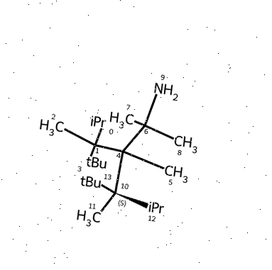 CC(C)C(C)(C(C)(C)C)C(C)(C(C)(C)N)[C@@](C)(C(C)C)C(C)(C)C